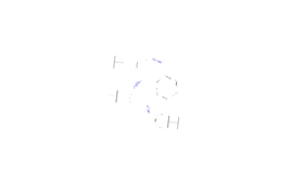 C/C=C\c1[c]ccc(/C=C\C)c1/C=C\C